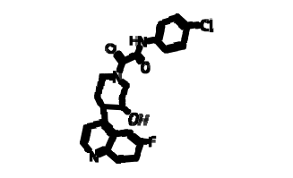 O=C(Nc1ccc(Cl)cc1)C(=O)N1CCC(c2ccnc3ccc(F)cc23)C(O)C1